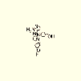 Nc1ncccc1-c1nc2ccc(-c3ccc(OCF)cn3)nc2n1-c1ccc(CO)cc1